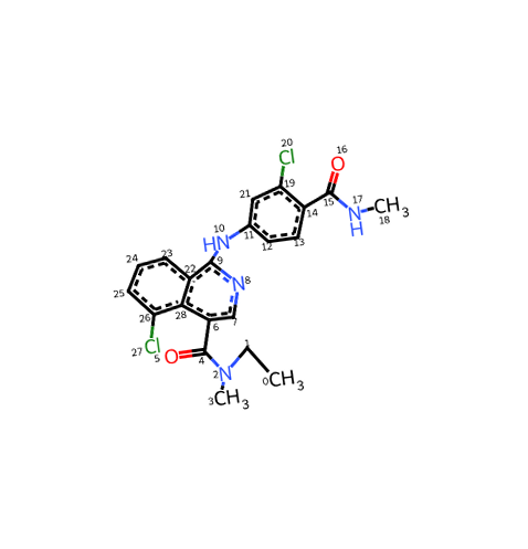 CCN(C)C(=O)c1cnc(Nc2ccc(C(=O)NC)c(Cl)c2)c2cccc(Cl)c12